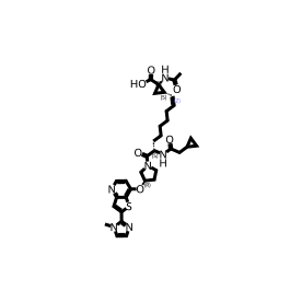 CC(=O)N[C@]1(C(=O)O)C[C@H]1/C=C\CCCCC[C@H](NC(=O)CC1CC1)C(=O)N1CC[C@@H](Oc2ccnc3cc(-c4nccn4C)sc23)C1